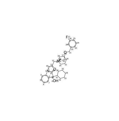 O[C@](c1ccccc1)(c1ncc(C[N+]23CCC(CC2)C(OCc2cccc(F)c2)C3)o1)C1CCCCC1